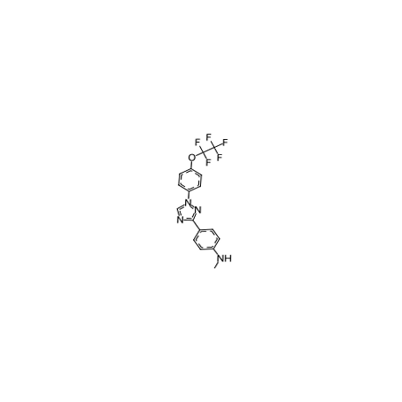 CNc1ccc(-c2ncn(-c3ccc(OC(F)(F)C(F)(F)F)cc3)n2)cc1